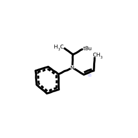 C/C=C\N(c1ccccc1)C(C)C(C)(C)C